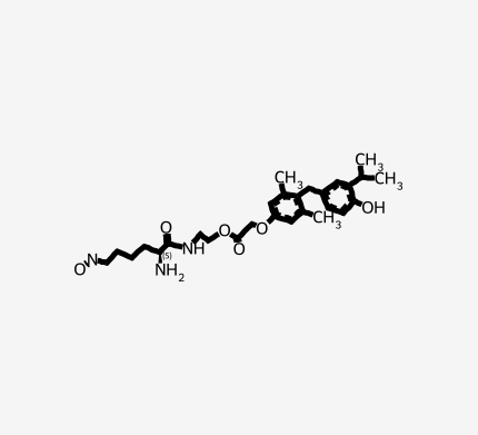 Cc1cc(OCC(=O)OCCNC(=O)[C@@H](N)CCCCN=O)cc(C)c1Cc1ccc(O)c(C(C)C)c1